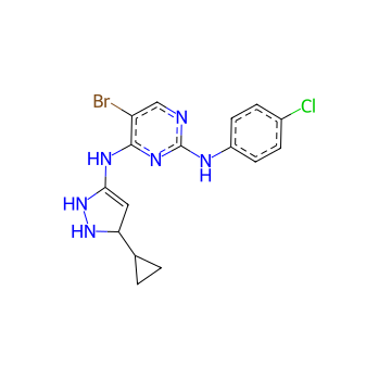 Clc1ccc(Nc2ncc(Br)c(NC3=CC(C4CC4)NN3)n2)cc1